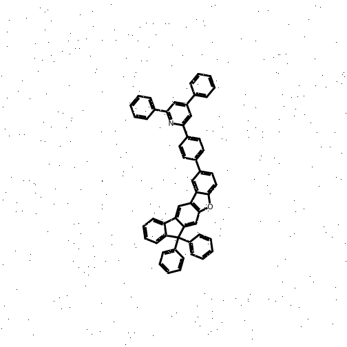 c1ccc(-c2cc(-c3ccccc3)nc(-c3ccc(-c4ccc5oc6cc7c(cc6c5c4)-c4ccccc4C7(c4ccccc4)c4ccccc4)cc3)c2)cc1